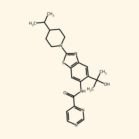 CC(C)C1CCN(c2nc3cc(C(C)(C)O)c(NC(=O)c4ccncn4)cc3s2)CC1